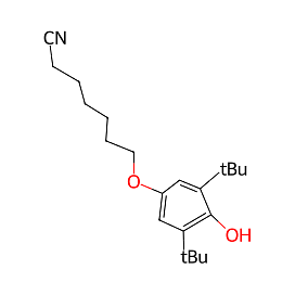 CC(C)(C)c1cc(OCCCCCCC#N)cc(C(C)(C)C)c1O